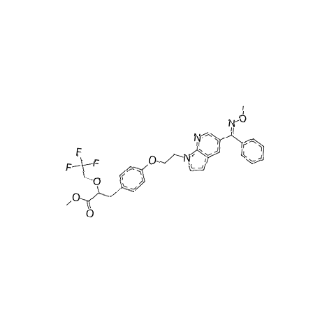 CO/N=C(\c1ccccc1)c1cnc2c(ccn2CCOc2ccc(CC(OCC(F)(F)F)C(=O)OC)cc2)c1